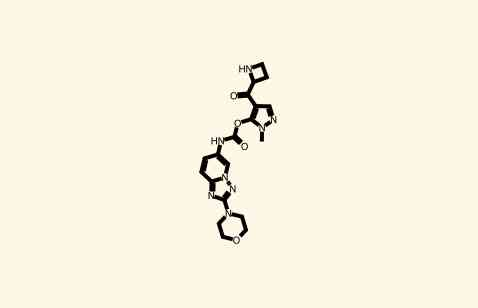 Cn1ncc(C(=O)C2CCN2)c1OC(=O)Nc1ccc2nc(N3CCOCC3)nn2c1